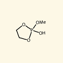 CO[P]1(O)OCCO1